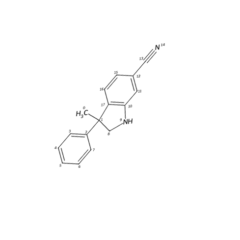 CC1(c2ccccc2)CNc2cc(C#N)ccc21